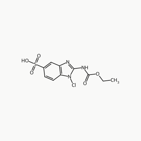 CCOC(=O)Nc1nc2cc(S(=O)(=O)O)ccc2n1Cl